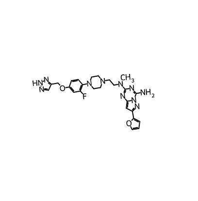 CN(CCN1CCN(c2ccc(OCc3cn[nH]n3)cc2F)CC1)c1nc(N)n2nc(-c3ccco3)cc2n1